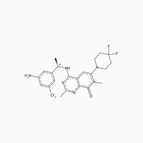 Cc1nc(N[C@H](C)c2cc(N)cc(C(F)(F)F)c2)c2cc(N3CCC(F)(F)CC3)n(C)c(=O)c2n1